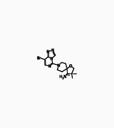 CC1(C)COC2(CCN(c3ncc(Br)c4nncn34)CC2)[C@@H]1N